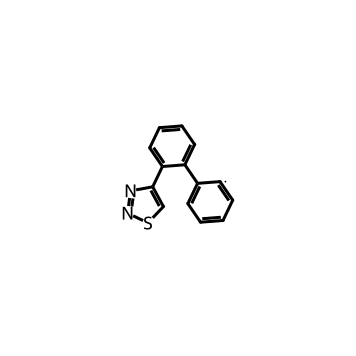 [c]1ccccc1-c1ccccc1-c1csnn1